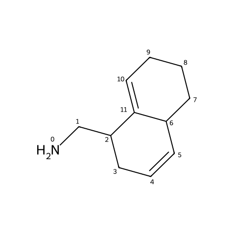 NCC1CC=CC2CCCC=C21